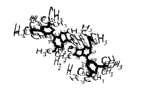 CC1=Cc2c(-c3cc(C(C)(C)C)cc(C(C)(C)C)c3)cc(C(C)C)cc2C1[Si](C)(C)C1C(C)=Cc2c(-c3cc(C(C)(C)C)cc(C(C)(C)C)c3)cc(C(C)C)cc21